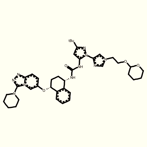 CC(C)(C)c1cc(NC(=O)N[C@H]2CC[C@@H](Oc3ccc4nnc(N5CCCCC5)n4c3)c3ccccc32)n(-c2cn(CCOC3CCCCO3)cn2)n1